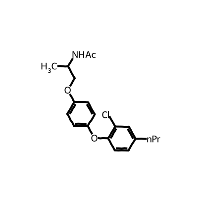 CCCc1ccc(Oc2ccc(OCC(C)NC(C)=O)cc2)c(Cl)c1